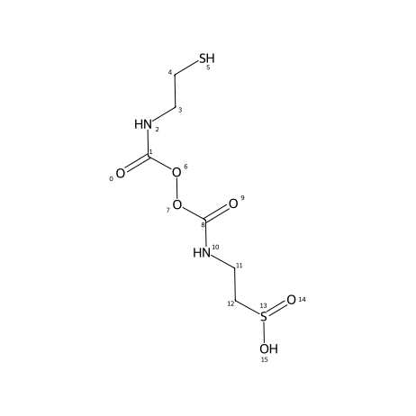 O=C(NCCS)OOC(=O)NCCS(=O)O